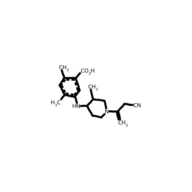 C=C(CC#N)N1CCC(Nc2cc(C(=O)O)c(C)cc2C)C(C)C1